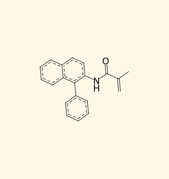 C=C(C)C(=O)Nc1ccc2ccccc2c1-c1ccccc1